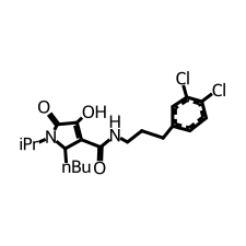 CCCCC1C(C(=O)NCCCc2ccc(Cl)c(Cl)c2)=C(O)C(=O)N1C(C)C